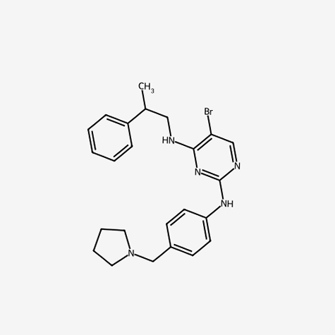 CC(CNc1nc(Nc2ccc(CN3CCCC3)cc2)ncc1Br)c1ccccc1